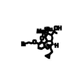 CO[C@H]1[C@H]2Oc3c(OCCBr)ccc4c3[C@@]23CCN(CC2CC2)[C@H](C4)C3C[C@@H]1[C@](C)(O)C(C)(C)C